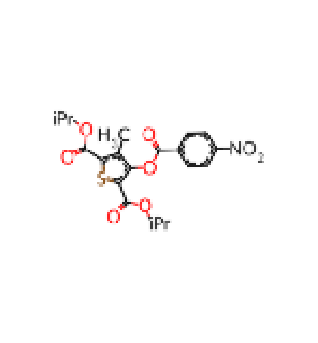 Cc1c(C(=O)OC(C)C)sc(C(=O)OC(C)C)c1OC(=O)c1ccc([N+](=O)[O-])cc1